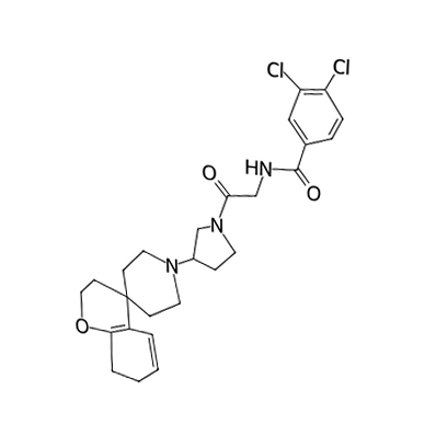 O=C(NCC(=O)N1CCC(N2CCC3(CCOC4=C3C=CCC4)CC2)C1)c1ccc(Cl)c(Cl)c1